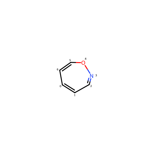 C1=CC=NOC=C1